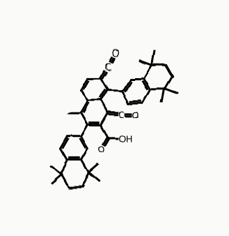 Cc1c(-c2ccc3c(c2)C(C)(C)CCC3(C)C)c(C(=O)O)c(=C=O)c2c(-c3ccc4c(c3)C(C)(C)CCC4(C)C)c(=C=O)ccc12